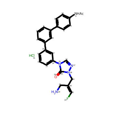 CC(=O)Nc1ccc(-c2cccc(-c3cccc(-n4cnn(C/C(=C/F)CN)c4=O)c3)c2)cc1.Cl